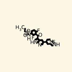 CCCS(=O)(=O)Nc1ccc(F)c(C(=O)c2c[nH]c3ncc(C4=CC5=CNSN5C=C4)cc23)c1F